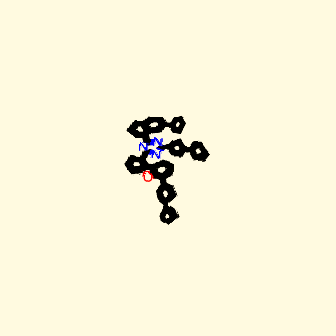 c1ccc(-c2ccc(-c3nc(-c4cccc5ccc(-c6ccccc6)cc45)nc(-c4cccc5oc6c(-c7ccc(-c8ccccc8)cc7)cccc6c45)n3)cc2)cc1